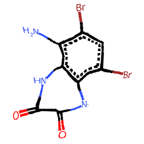 Nc1c(Br)cc(Br)c2c1NC(=O)C(=O)[N]2